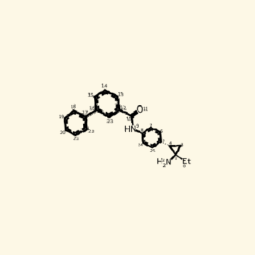 CC[C@]1(N)C[C@H]1c1ccc(NC(=O)c2cccc(-c3ccccc3)c2)cc1